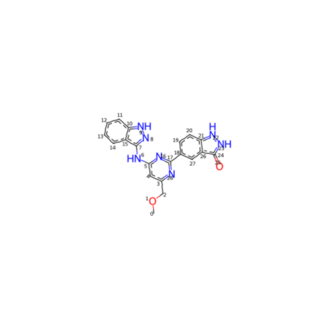 COCc1cc(Nc2n[nH]c3ccccc23)nc(-c2ccc3[nH][nH]c(=O)c3c2)n1